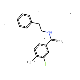 C=C(NCCc1ccccc1)c1ccc(C)c(F)c1